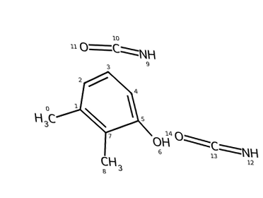 Cc1cccc(O)c1C.N=C=O.N=C=O